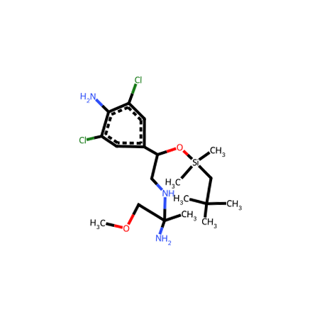 COCC(C)(N)NCC(O[Si](C)(C)CC(C)(C)C)c1cc(Cl)c(N)c(Cl)c1